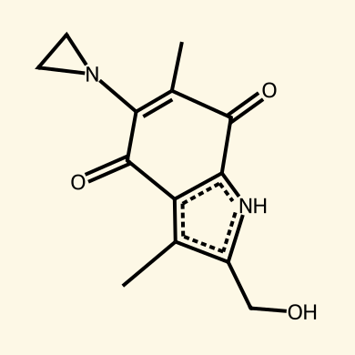 CC1=C(N2CC2)C(=O)c2c([nH]c(CO)c2C)C1=O